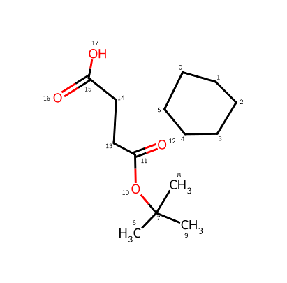 C1CCCCC1.CC(C)(C)OC(=O)CCC(=O)O